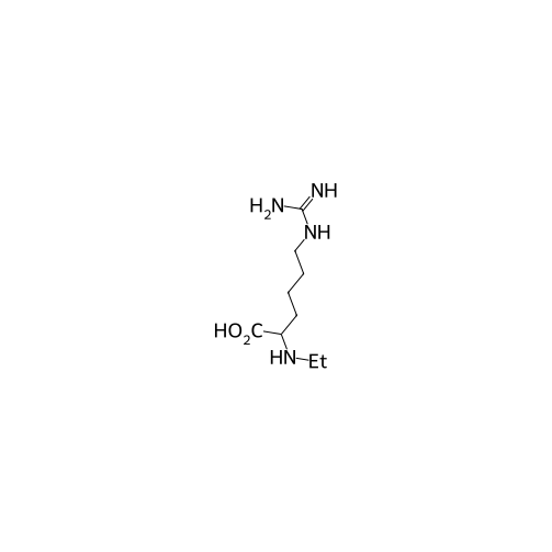 CCNC(CCCCNC(=N)N)C(=O)O